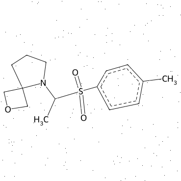 Cc1ccc(S(=O)(=O)C(C)N2CCCC23COC3)cc1